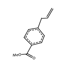 C=C[CH]c1ccc(C(=O)OC)cc1